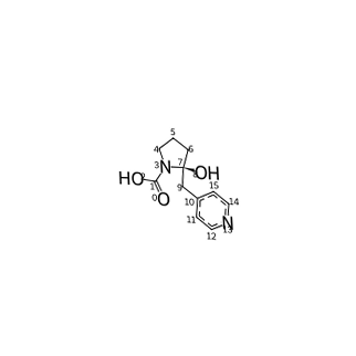 O=C(O)N1CCC[C@]1(O)Cc1ccncc1